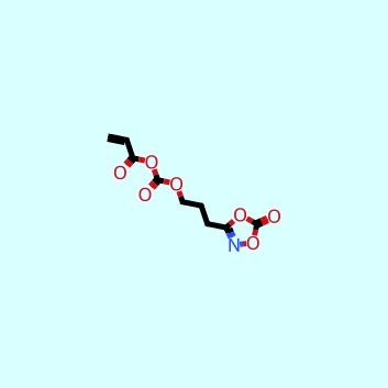 C=CC(=O)OC(=O)OCCCc1noc(=O)o1